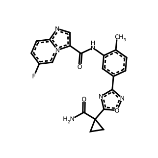 Cc1ccc(-c2noc(C3(C(N)=O)CC3)n2)cc1NC(=O)c1cnc2ccc(F)cn12